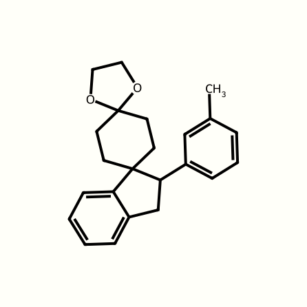 Cc1cccc(C2Cc3ccccc3C23CCC2(CC3)OCCO2)c1